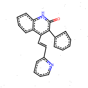 O=c1[nH]c2ccccc2c(/C=C/c2ccccn2)c1-c1ccccc1